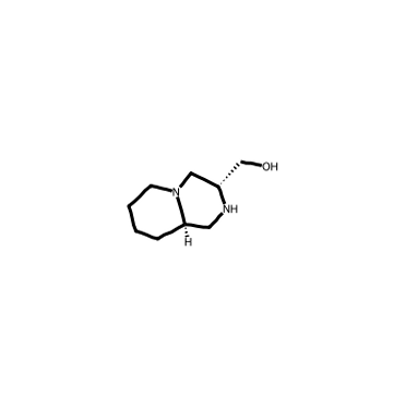 OC[C@H]1CN2CCCC[C@@H]2CN1